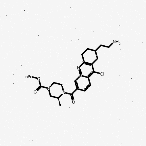 CCCOC(=O)N1CCN(C(=O)c2ccc3c(Cl)c4c(nc3c2)CCC(CCN)C4)[C@@H](C)C1